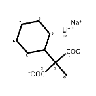 CC(C(=O)[O-])(C(=O)[O-])C1CCCCC1.[Li+].[Na+]